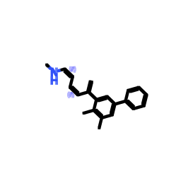 C=C(/C=C\C=C/NC)c1cc(-c2ccccc2)cc(C)c1C